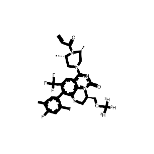 [2H]C([2H])([2H])OC[C@H]1CSc2c(-c3cc(C)c(F)cc3F)c(C(F)(F)F)cc3c(N4C[C@@H](C)N(C(=O)C=C)[C@@H](C)C4)nc(=O)n1c23